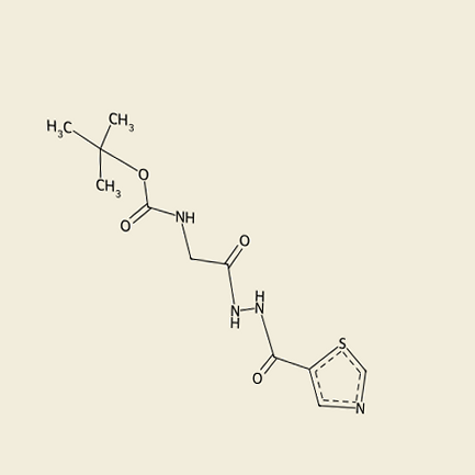 CC(C)(C)OC(=O)NCC(=O)NNC(=O)c1cncs1